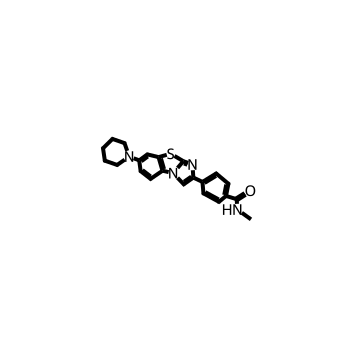 CNC(=O)c1ccc(-c2cn3c(n2)sc2cc(N4CCCCC4)ccc23)cc1